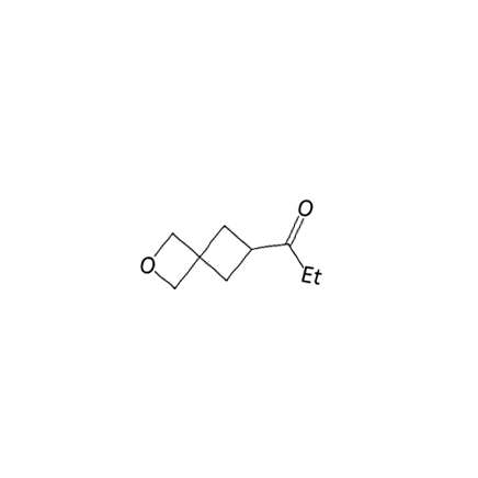 CCC(=O)C1CC2(COC2)C1